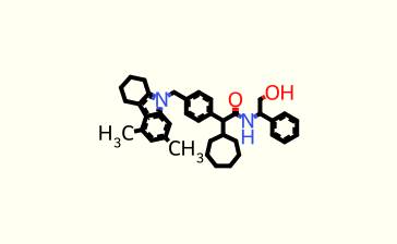 Cc1cc(C)c2c3c(n(Cc4ccc(C(C(=O)NC(CO)c5ccccc5)C5CCCCCC5)cc4)c2c1)CCCC3